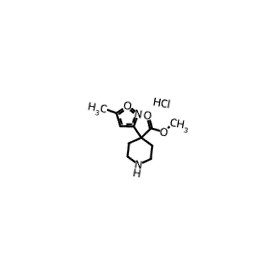 COC(=O)C1(c2cc(C)on2)CCNCC1.Cl